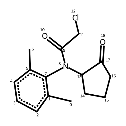 Cc1cccc(C)c1N(C(=O)CCl)C1CCCC1=O